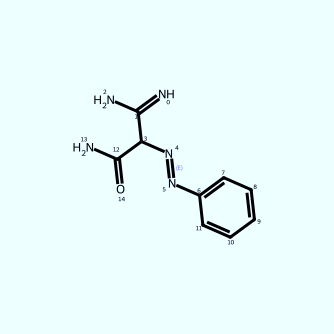 N=C(N)C(/N=N/c1ccccc1)C(N)=O